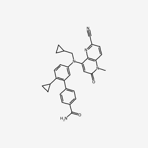 Cn1c(=O)cc(N(CC2CC2)c2ccc(C3CC3)c(-c3ccc(C(N)=O)cc3)c2)c2nc(C#N)ccc21